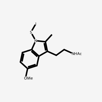 COc1ccc2c(c1)c(CCNC(C)=O)c(C)n2SI